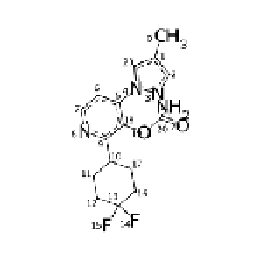 Cc1cnn(-c2ccnc(C3CCC(F)(F)CC3)c2OC(N)=O)c1